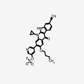 C#Cc1ccc2c(c1)[nH]c1c2c(=O)c2cc(OCCCC)c(-c3cncc(OS(=O)(=O)F)c3)cc2n1C1CC1